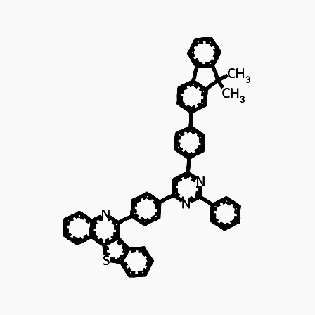 CC1(C)c2ccccc2-c2ccc(-c3ccc(-c4cc(-c5ccc(-c6nc7ccccc7c7sc8ccccc8c67)cc5)nc(-c5ccccc5)n4)cc3)cc21